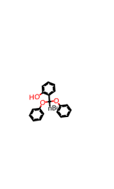 CCCCC(Oc1ccccc1)(Oc1ccccc1)c1ccccc1O